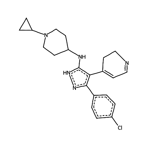 Clc1ccc(-c2n[nH]c(NC3CCN(C4CC4)CC3)c2C2=CC=NCC2)cc1